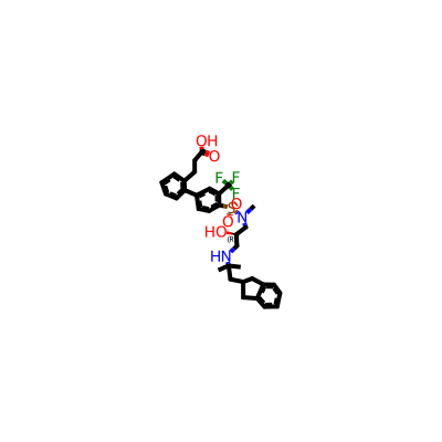 CN(C[C@H](O)CNC(C)(C)CC1Cc2ccccc2C1)S(=O)(=O)c1ccc(-c2ccccc2CCC(=O)O)cc1C(F)(F)F